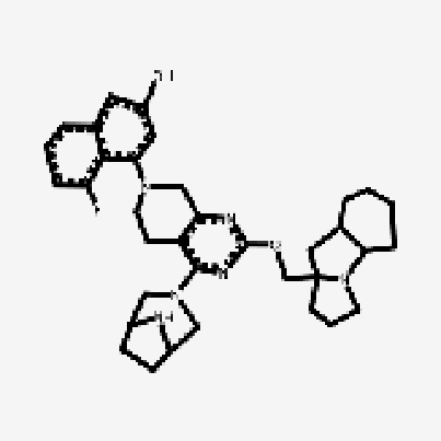 Oc1cc(N2CCc3c(nc(OCC45CCCN4C4CCCCC4C5)nc3N3CC4CCC(C3)N4)C2)c2c(F)cccc2c1